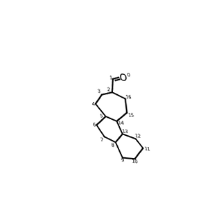 O=CC1CCC2CCC3CCCCC3C2CC1